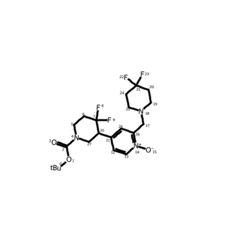 CC(C)(C)OC(=O)N1CCC(F)(F)C(c2cc[n+]([O-])c(CN3CCC(F)(F)CC3)c2)C1